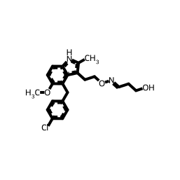 COc1ccc2[nH]c(C)c(CCON=CCCO)c2c1Cc1ccc(Cl)cc1